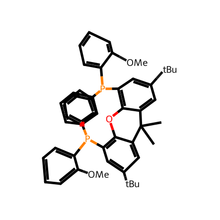 COc1ccccc1P(c1ccccc1)c1cc(C(C)(C)C)cc2c1Oc1c(P(c3ccccc3)c3ccccc3OC)cc(C(C)(C)C)cc1C2(C)C